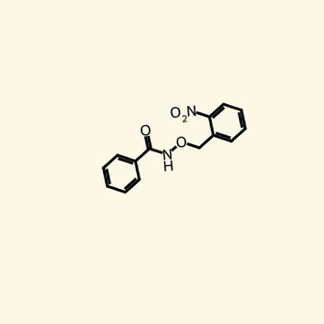 O=C(NOCc1ccccc1[N+](=O)[O-])c1ccccc1